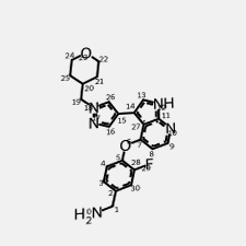 NCc1ccc(Oc2ccnc3[nH]cc(-c4cnn(CC5CCOCC5)c4)c23)c(F)c1